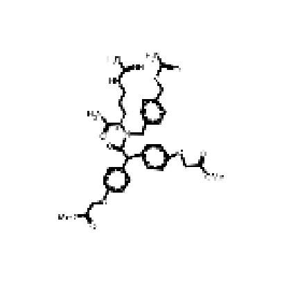 COC(=O)COc1ccc(C(C(=O)N(Cc2ccc(CNC(N)=O)cc2)[C@H](CCCNC(=N)N)C(N)=O)c2ccc(OCC(=O)OC)cc2)cc1